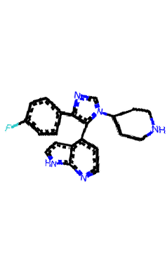 Fc1ccc(-c2ncn(C3CCNCC3)c2-c2ccnc3[nH]ccc23)cc1